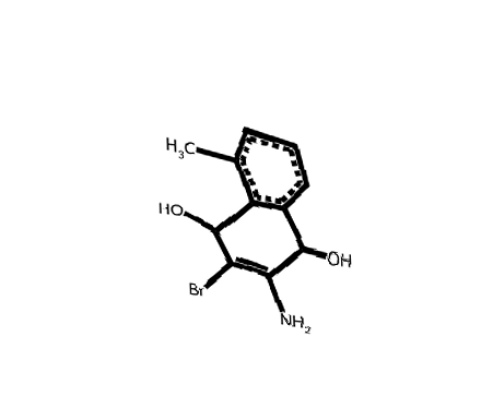 Cc1cccc2c1C(O)C(Br)=C(N)C2O